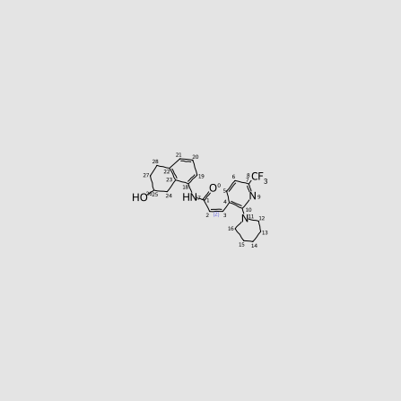 O=C(/C=C\c1ccc(C(F)(F)F)nc1N1CCCCC1)Nc1cccc2c1CC(O)CC2